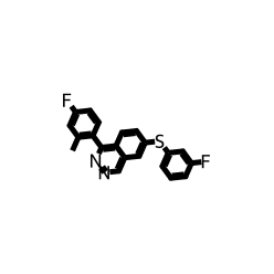 Cc1cc(F)ccc1-c1nncc2cc(Sc3cccc(F)c3)ccc12